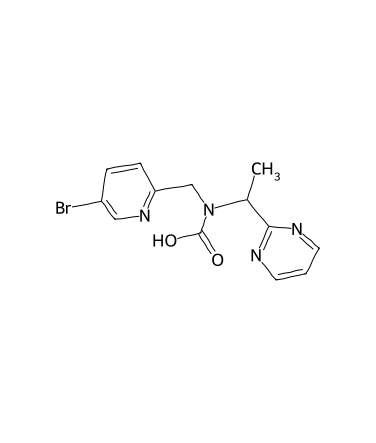 CC(c1ncccn1)N(Cc1ccc(Br)cn1)C(=O)O